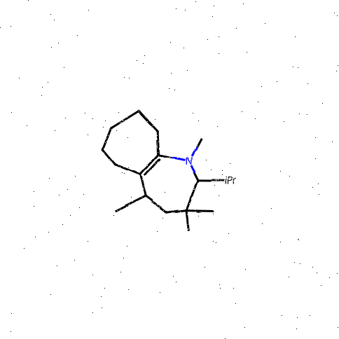 CC1CC(C)(C)C(C(C)C)N(C)C2=C1CCCCC2